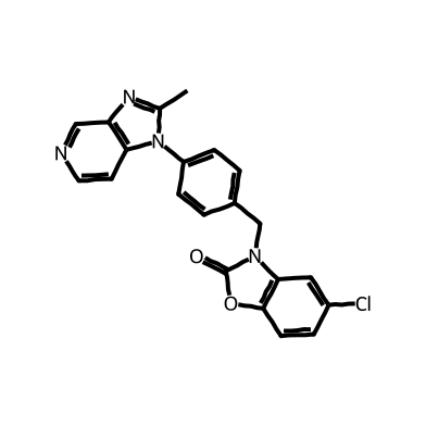 Cc1nc2cnccc2n1-c1ccc(Cn2c(=O)oc3ccc(Cl)cc32)cc1